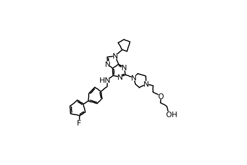 OCCOCCN1CCN(c2nc(NCc3ccc(-c4cccc(F)c4)cc3)c3ncn(C4CCCC4)c3n2)CC1